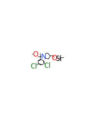 COCC(C)(c1cc(Cl)cc(Cl)c1)N1CCC(CO[Si](C)(C)C(C)(C)C)CC1